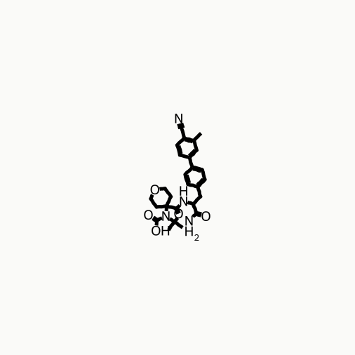 Cc1cc(-c2ccc(CC(NC(=O)C3(N(C(=O)O)C(C)(C)C)CCOCC3)C(N)=O)cc2)ccc1C#N